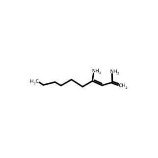 C=C(N)/C=C(\N)CCCCCC